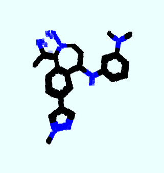 C/C(N)=C1\c2ccc(-c3cnn(C)c3)cc2C(Nc2cccc(N(C)C)c2)CCN1N